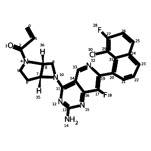 C=CC(=O)N1CC[C@@H]2[C@H]1CN2c1nc(N)nc2c(F)c(-c3cccc4ccc(F)c(Cl)c34)ncc12